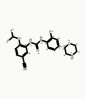 N#Cc1ccc(OC(F)F)c(NC(=O)Nc2ccc([C@H]3CNCCO3)cc2F)c1